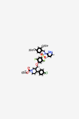 COc1ccc(CN(c2cccnn2)S(=O)(=O)c2cc(F)c(OCC3CN(C(=O)OC(C)(C)C)CCC3c3ccc(Cl)cc3)cc2F)c(OC)c1